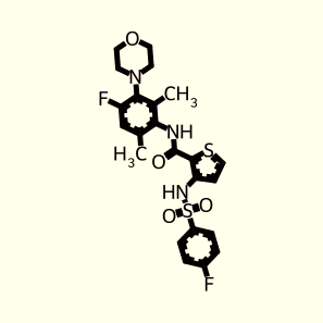 Cc1cc(F)c(N2CCOCC2)c(C)c1NC(=O)c1sccc1NS(=O)(=O)c1ccc(F)cc1